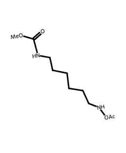 COC(=O)NCCCCCCNOC(C)=O